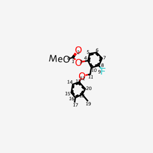 COC(=O)Oc1cccc(F)c1COc1ccc(C)c(C)c1